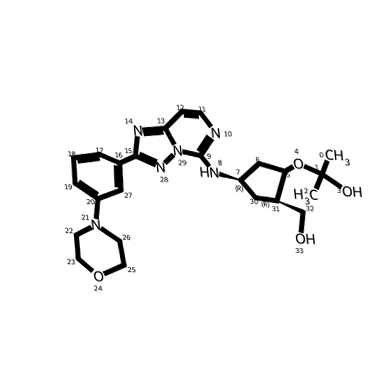 CC(C)(O)OC1C[C@H](Nc2nccc3nc(-c4cccc(N5CCOCC5)c4)nn23)C[C@@H]1CO